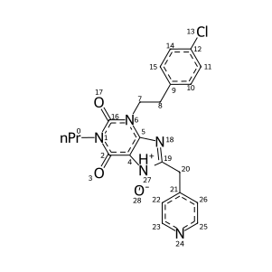 CCCn1c(=O)c2c(n(CCc3ccc(Cl)cc3)c1=O)N=C(Cc1ccncc1)[NH+]2[O-]